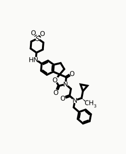 C[C@@H](C1CC1)N(Cc1ccccc1)C(=O)CN1C(=O)OC2(CCc3cc(NC4CCS(=O)(=O)CC4)ccc32)C1=O